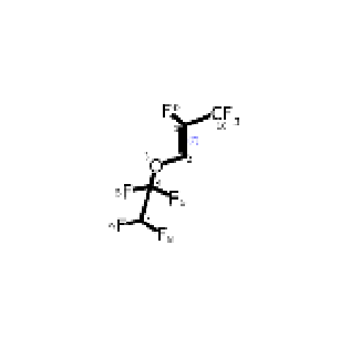 F/C(=C\OC(F)(F)C(F)F)C(F)(F)F